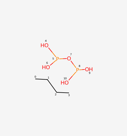 CCCC.OP(O)OP(O)O